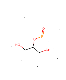 O=POC(CO)CO